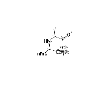 CCCC(NC(C)C(=O)Cl)C(=O)OCC.Cl